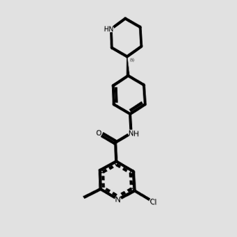 Cc1cc(C(=O)NC2=CCC([C@@H]3CCCNC3)C=C2)cc(Cl)n1